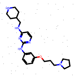 c1cc(Nc2nccc(NCC3CCNCC3)n2)cc(OCCCN2CCCC2)c1